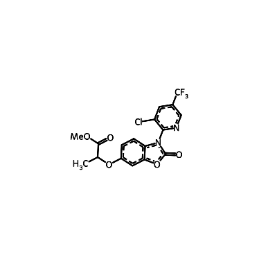 COC(=O)C(C)Oc1ccc2c(c1)oc(=O)n2-c1ncc(C(F)(F)F)cc1Cl